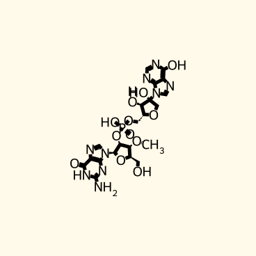 CO[C@H]1[C@@H](OP(=O)(O)OC[C@H]2OC[C@@](O)(n3cnc4c(O)ncnc43)[C@@H]2O)[C@H](n2cnc3c(=O)[nH]c(N)nc32)O[C@@H]1CO